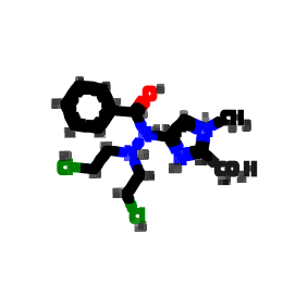 Cn1cc(N(C(=O)c2ccccc2)N(CCCl)CCCl)nc1C(=O)O